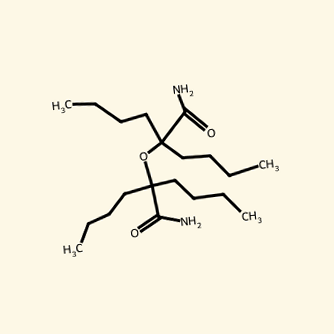 CCCCC(CCCC)(OC(CCCC)(CCCC)C(N)=O)C(N)=O